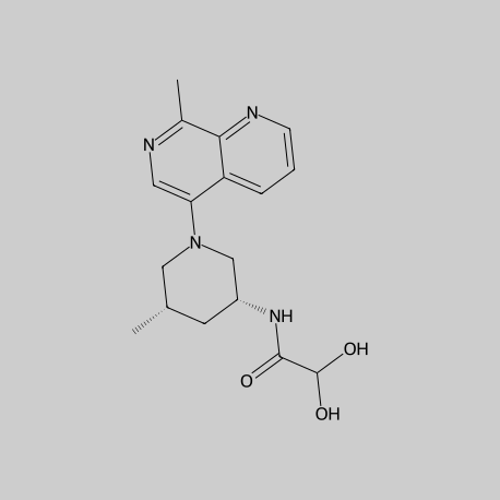 Cc1ncc(N2C[C@@H](C)C[C@@H](NC(=O)C(O)O)C2)c2cccnc12